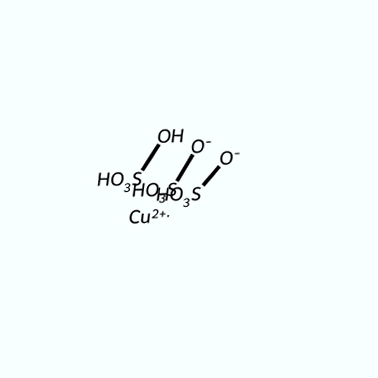 O=S(=O)(O)O.O=S(=O)([O-])O.O=S(=O)([O-])O.[Cu+2]